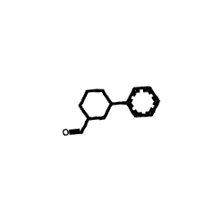 O=CC1CCCC(c2ccccc2)C1